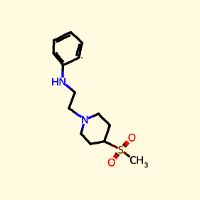 CS(=O)(=O)C1CCN(CCNc2[c]cccc2)CC1